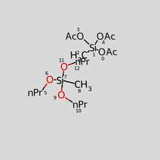 CC(=O)O[Si](C)(OC(C)=O)OC(C)=O.CCCO[Si](C)(OCCC)OCCC